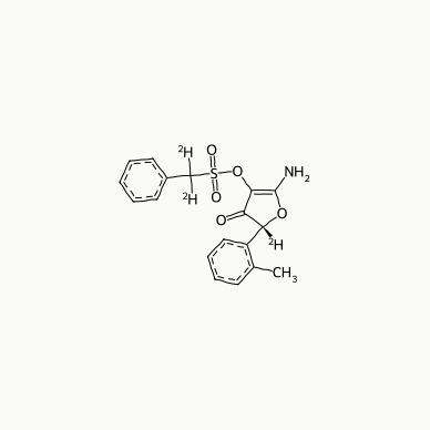 [2H]C([2H])(c1ccccc1)S(=O)(=O)OC1=C(N)O[C@]([2H])(c2ccccc2C)C1=O